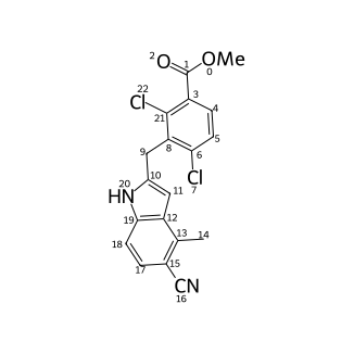 COC(=O)c1ccc(Cl)c(Cc2cc3c(C)c(C#N)ccc3[nH]2)c1Cl